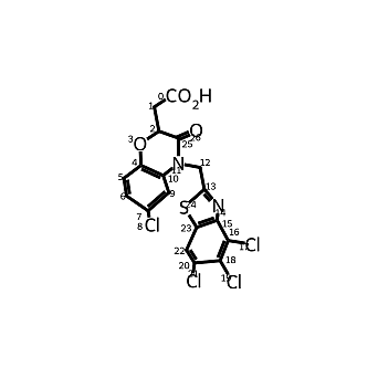 O=C(O)CC1Oc2ccc(Cl)cc2N(Cc2nc3c(Cl)c(Cl)c(Cl)cc3s2)C1=O